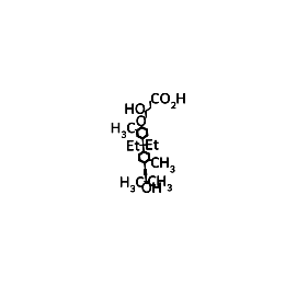 CCC(CC)(c1ccc(C#CC(C)(C)O)c(C)c1)c1ccc(OC[C@H](O)CCC(=O)O)c(C)c1